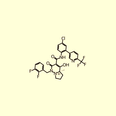 C[C@]12CCCN1N(Cc1cccc(F)c1F)C(=O)C(C(=O)Nc1ccc(Cl)cc1-c1ccc(C(F)(F)F)nc1)=C2O